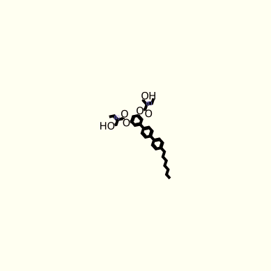 C/C=C(\CO)C(=O)Oc1cc(OC(=O)/C(=C/C)CO)cc(-c2ccc(-c3ccc(CCCCCCC)cc3)cc2)c1